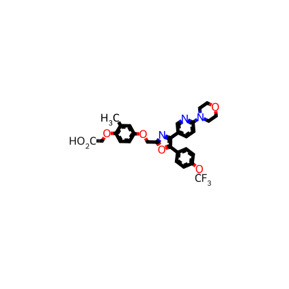 Cc1cc(OCc2nc(-c3ccc(N4CCOCC4)nc3)c(-c3ccc(OC(F)(F)F)cc3)o2)ccc1OCC(=O)O